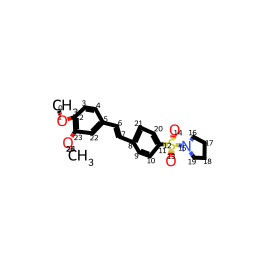 COc1ccc(C=Cc2ccc(S(=O)(=O)N3CCCC3)cc2)cc1OC